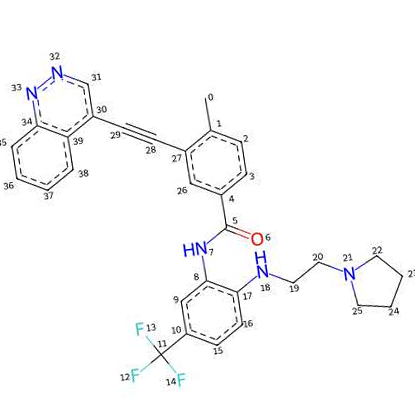 Cc1ccc(C(=O)Nc2cc(C(F)(F)F)ccc2NCCN2CCCC2)cc1C#Cc1cnnc2ccccc12